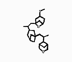 CSC1CC2CC(CC(C)C3CC4CC(CC(C)C5C6COCC5C6)(C4)C3)(C1)O2